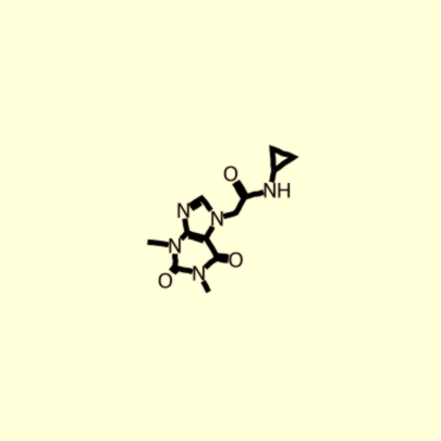 Cn1c(=O)c2c(ncn2CC(=O)NC2CC2)n(C)c1=O